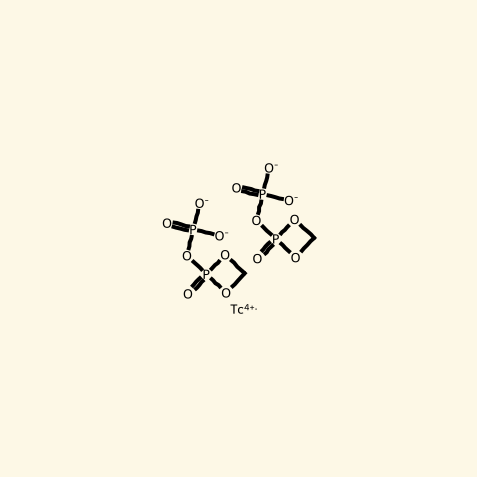 O=P([O-])([O-])OP1(=O)OCO1.O=P([O-])([O-])OP1(=O)OCO1.[Tc+4]